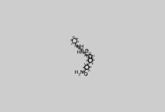 NC(=O)c1ccc(-c2ccc3ccn(CC(=O)NCCNCC4CCCCC4)c3c2)cc1